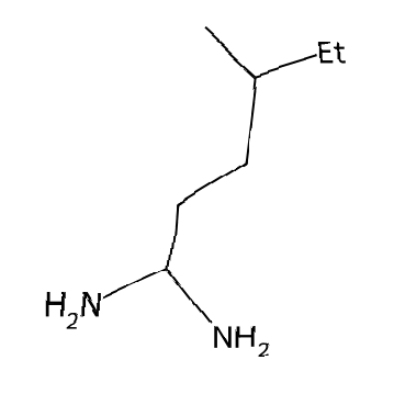 CCC(C)CCC(N)N